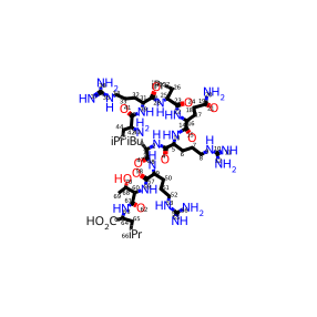 CCC(C)C(NC(=O)C(CCCNC(=N)N)NC(=O)C(CCC(N)=O)NC(=O)C(CC(C)C)NC(=O)C(CCCNC(=N)N)NC(=O)C(N)CC(C)C)C(=O)NC(CCCNC(=N)N)C(=O)NC(C(=O)NC(CC(C)C)C(=O)O)C(C)O